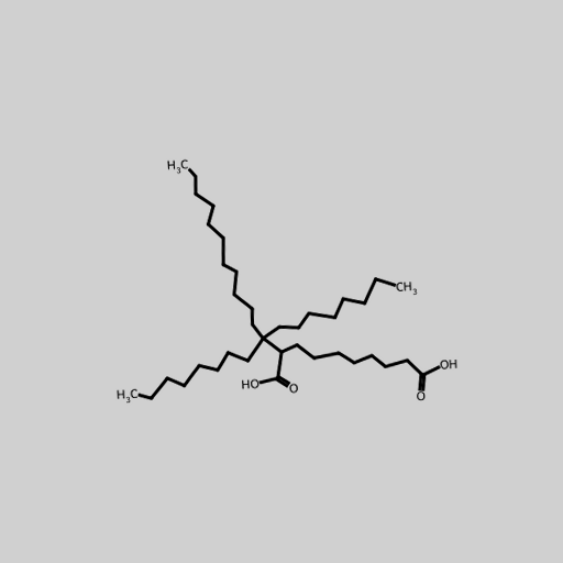 CCCCCCCCCCCC(CCCCCCCC)(CCCCCCCC)C(CCCCCCCC(=O)O)C(=O)O